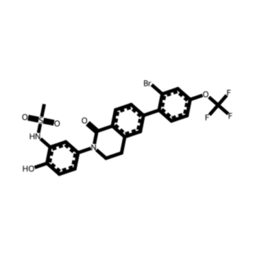 CS(=O)(=O)Nc1cc(N2CCc3cc(-c4ccc(OC(F)(F)F)cc4Br)ccc3C2=O)ccc1O